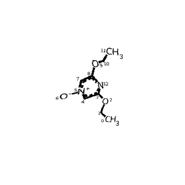 CCOc1c[n+]([O-])cc(OCC)n1